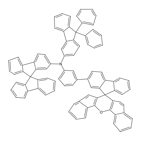 c1ccc(C2(c3ccccc3)c3ccccc3-c3cc(N(c4cccc(-c5ccc6c(c5)C5(c7ccccc7-6)c6ccc7ccccc7c6Oc6c5ccc5ccccc65)c4)c4ccc5c(c4)C4(c6ccccc6-c6ccccc64)c4ccccc4-5)ccc32)cc1